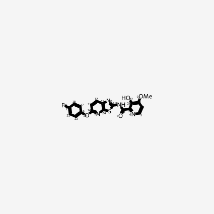 COc1ccnc(C(=O)Nc2nc3ccc(Oc4ccc(F)cc4)nc3s2)c1O